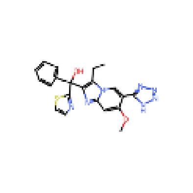 CCc1c(C(O)(c2ccccc2)c2nccs2)nc2cc(OC)c(-c3nnn[nH]3)cn12